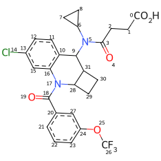 O=C(O)CCC(=O)N(C1CC1)C1c2ccc(Cl)cc2N(C(=O)c2cccc(OC(F)(F)F)c2)C2CCC21